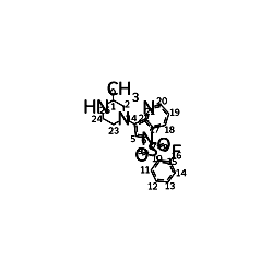 CC1CN(c2cn(S(=O)(=O)c3ccccc3F)c3cccnc23)CCN1